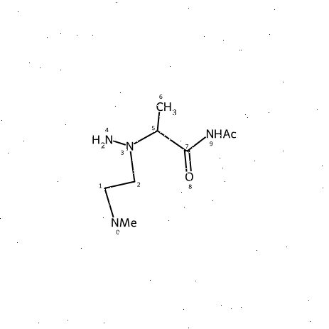 CNCCN(N)C(C)C(=O)NC(C)=O